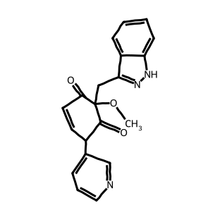 COC1(Cc2n[nH]c3ccccc23)C(=O)C=CC(c2cccnc2)C1=O